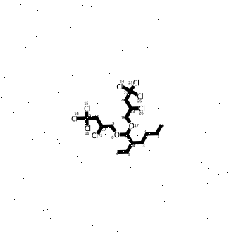 CCCCC(CC)C(OCC(Cl)CC(Cl)(Cl)Cl)OCC(Cl)CC(Cl)(Cl)Cl